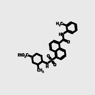 CCOC(=O)N1CCC(NS(=O)(=O)c2cccc3c(C(=O)Nc4ccccc4C)cccc23)C(C)C1